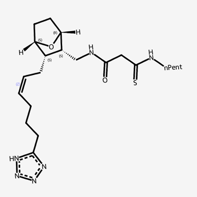 CCCCCNC(=S)CC(=O)NC[C@@H]1[C@H](C/C=C\CCCc2nnn[nH]2)[C@@H]2CC[C@H]1O2